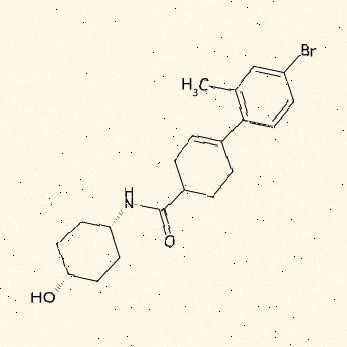 Cc1cc(Br)ccc1C1=CCC(C(=O)N[C@H]2CC[C@@H](O)CC2)CC1